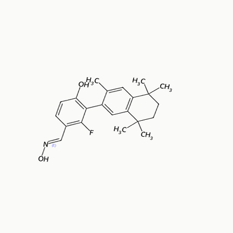 Cc1cc2c(cc1-c1c(O)ccc(/C=N/O)c1F)C(C)(C)CCC2(C)C